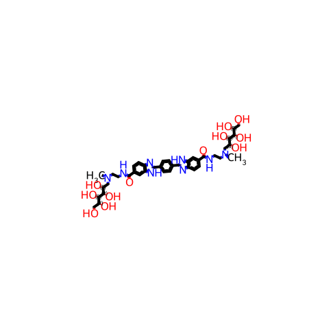 CN(CCNC(=O)c1ccc2nc(-c3ccc(-c4nc5ccc(C(=O)NCCN(C)C[C@H](O)[C@@H](O)[C@H](O)[C@H](O)CO)cc5[nH]4)cc3)[nH]c2c1)C[C@H](O)[C@@H](O)[C@H](O)[C@H](O)CO